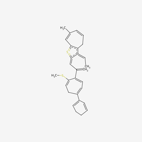 C=C(/C=c1/sc2c(/c1=C/C)CC=CC(C)=C2)C1=CC=C(C2=CCCC=C2)CC=C1SC